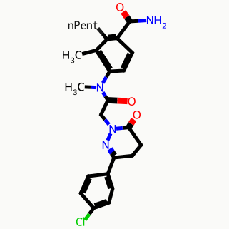 CCCCCc1c(C(N)=O)ccc(N(C)C(=O)CN2N=C(c3ccc(Cl)cc3)CCC2=O)c1C